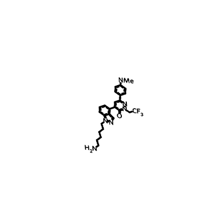 CNc1ccc(-c2cc(-c3cccc4c3cnn4CCCCCCN)c(=O)n(CC(F)(F)F)n2)cc1